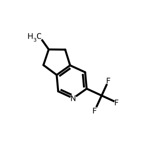 CC1Cc2cnc(C(F)(F)F)cc2C1